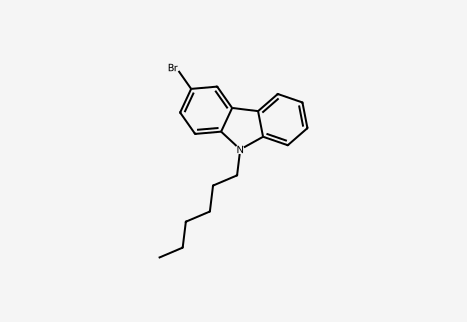 CCCCCCn1c2ccccc2c2cc(Br)ccc21